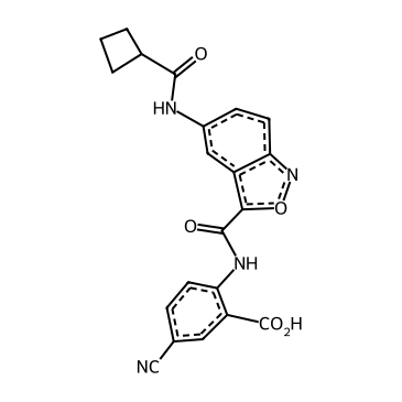 N#Cc1ccc(NC(=O)c2onc3ccc(NC(=O)C4CCC4)cc23)c(C(=O)O)c1